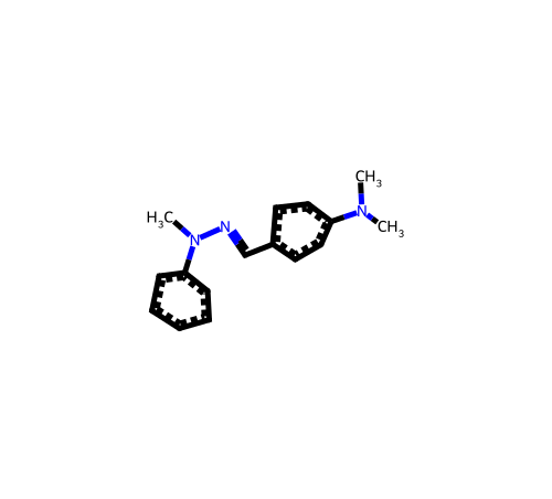 CN(C)c1ccc(/C=N/N(C)c2ccccc2)cc1